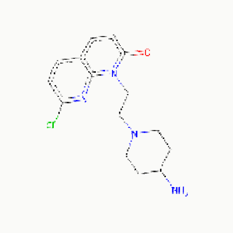 NC1CCN(CCn2c(=O)ccc3ccc(Cl)nc32)CC1